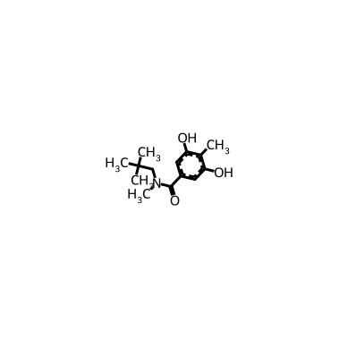 Cc1c(O)cc(C(=O)N(C)CC(C)(C)C)cc1O